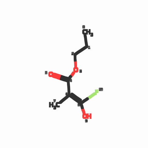 CCCOC(=O)C(C)=C(O)F